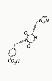 O=C(O)c1ccc(CC#CN2C(=O)C=NC(C#CCn3ccnc3)C2=O)cc1